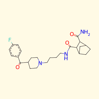 NC(=O)C1C2CCC(C2)C1C(=O)NCCCCN1CCC(C(=O)c2ccc(F)cc2)CC1